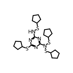 C1CCC(SNc2nc(SC3CCCC3)nc(N(SC3CCCC3)SC3CCCC3)n2)C1